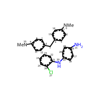 CNc1ccc(Cc2ccc(NC)cc2)cc1.Nc1ccc(Nc2ccccc2Cl)cc1